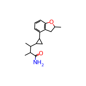 CC1Cc2c(cccc2C2CC2C(C)C(C)C(N)=O)O1